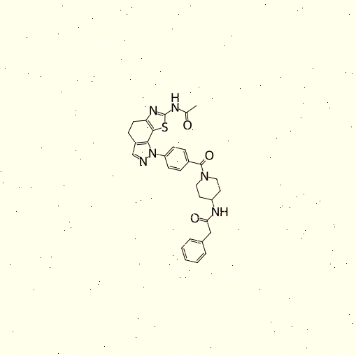 CC(=O)Nc1nc2c(s1)-c1c(cnn1-c1ccc(C(=O)N3CCC(NC(=O)Cc4ccccc4)CC3)cc1)CC2